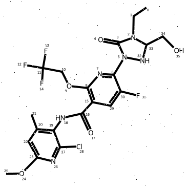 CCN1C(=O)N(c2nc(OCC(F)(F)F)c(C(=O)Nc3c(C)cc(OC)nc3Cl)cc2F)NC1CO